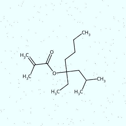 C=C(C)C(=O)OC(CC)(CCCC)CC(C)C